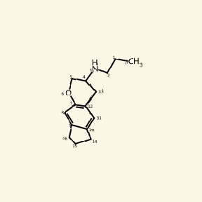 CCCNC1COc2cc3c(cc2C1)CCC3